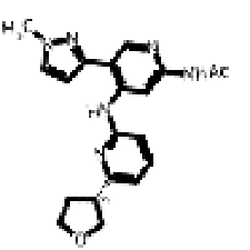 CC(=O)Nc1cc(Nc2cccc([C@H]3CCOC3)n2)c(-c2ccn(C)n2)cn1